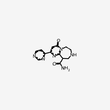 NC(=O)C1CNCCn2c1nc(-c1ccncn1)cc2=O